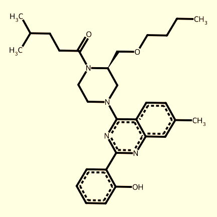 CCCCOC[C@H]1CN(c2nc(-c3ccccc3O)nc3cc(C)ccc23)CCN1C(=O)CCC(C)C